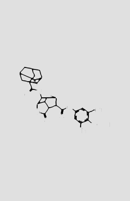 CC(C)c1cc(OC(=O)C2C3OC4C(OC(=O)C42)C3OC(=O)C23CC4CC(C2)C(=O)C(C4)C3)cc(C(C)C)c1S(=O)(=O)O